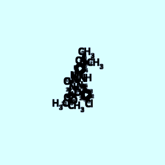 CCc1oc2ccc(NC3N(N)C(=O)N(C[C@H]4COC(C)(C)O4)C(=O)N3Cc3ccc(Cl)cc3)cc2c1C